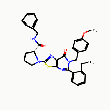 CCc1ccccc1-c1nc2sc(N3CCC[C@@H]3C(=O)NCc3ccccc3)nc2c(=O)n1Cc1ccc(OC)cc1